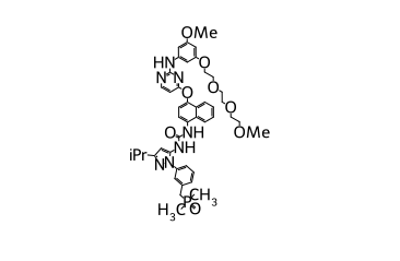 COCCOCCOCCOc1cc(Nc2nccc(Oc3ccc(NC(=O)Nc4cc(C(C)C)nn4-c4cccc(CP(C)(C)=O)c4)c4ccccc34)n2)cc(OC)c1